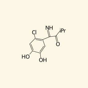 CC(C)C(=O)C(=N)c1cc(O)c(O)cc1Cl